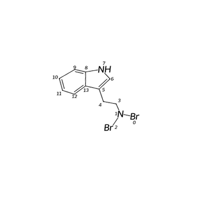 BrN(Br)CCc1c[nH]c2ccccc12